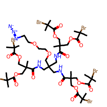 CC(C)(Br)C(=O)OCC(C)(COC(=O)C(C)(C)Br)C(=O)NCC(CNC(=O)C(C)(COC(=O)C(C)(C)Br)COC(=O)C(C)(C)Br)(CNC(=O)C(C)(COC(=O)C(C)(C)Br)COC(=O)C(C)(C)Br)COCCOCCN=[N+]=[N-]